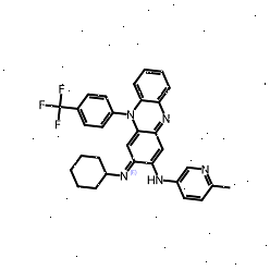 Cc1ccc(Nc2cc3nc4ccccc4n(-c4ccc(C(F)(F)F)cc4)c-3c/c2=N\C2CCCCC2)cn1